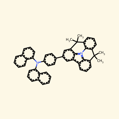 CC1(C)c2cccc3c2-n2c4c1cccc4c1cc(-c4ccc(N(c5cccc6ccccc56)c5cccc6ccccc56)cc4)cc(c12)C3(C)C